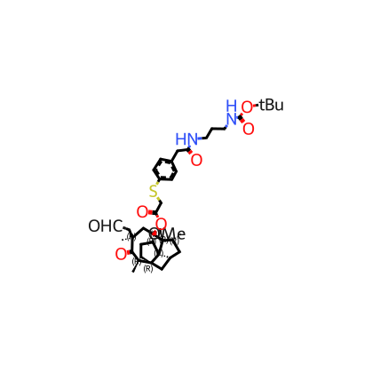 CO[C@@H]1CC[C@@]23CC4C[C@@H](C)[C@@](C)([C@H](OC(=O)CSc5ccc(CC(=O)NCCCNC(=O)OC(C)(C)C)cc5)C[C@](C)(CC=O)C(=O)[C@@H]2C)[C@]413